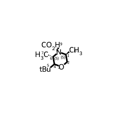 C[C@H]1COC(C(C)(C)C)[C@H](C)N1C(=O)O